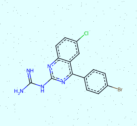 N=C(N)Nc1nc(-c2ccc(Br)cc2)c2cc(Cl)ccc2n1